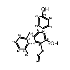 C=CCc1ccccc1O.Cc1cccc(C)c1.Oc1ccccc1